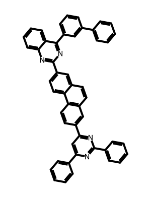 c1ccc(-c2cccc(-c3nc(-c4ccc5c(ccc6cc(-c7cc(-c8ccccc8)nc(-c8ccccc8)n7)ccc65)c4)nc4ccccc34)c2)cc1